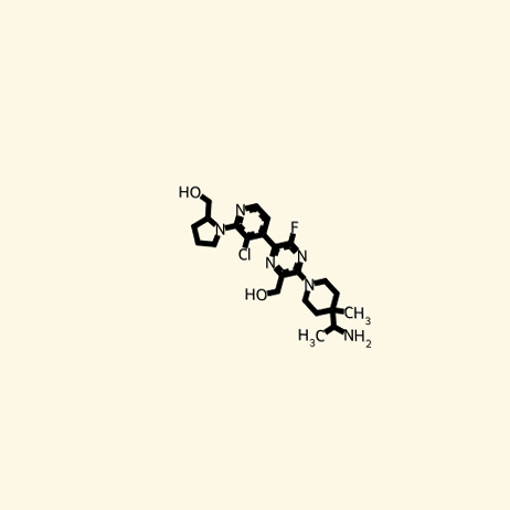 CC(N)C1(C)CCN(c2nc(F)c(-c3ccnc(N4CCCC4CO)c3Cl)nc2CO)CC1